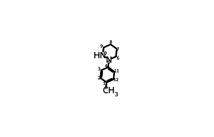 Cc1ccc(N2CCCCN2)cc1